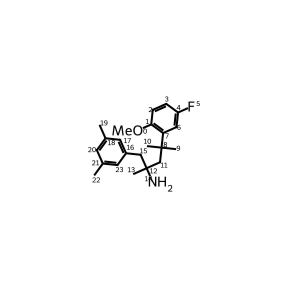 COc1ccc(F)cc1C(C)(C)CC(C)(N)Cc1cc(C)cc(C)c1